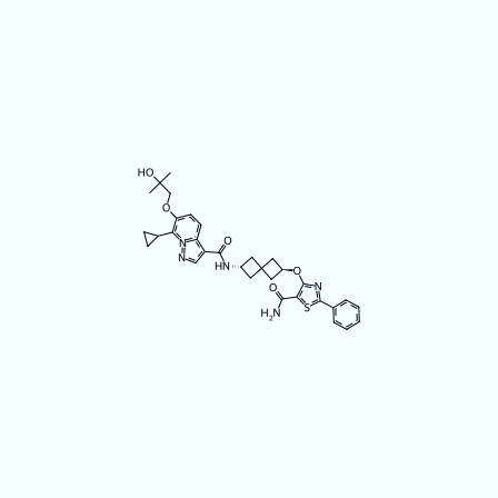 CC(C)(O)COc1ccc2c(C(=O)N[C@H]3CC4(C3)C[C@H](Oc3nc(-c5ccccc5)sc3C(N)=O)C4)cnn2c1C1CC1